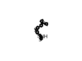 c1ccc(-n2c3ccccc3c3cc(-c4ccc5sc6ccc(-c7cc8[nH]c9ccsc9c8s7)cc6c5c4)ccc32)cc1